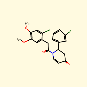 COc1cc(F)c(CC(=O)N2C=CC(=O)CC2c2cccc(F)c2)cc1OC